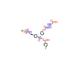 CS(=O)(=O)NCC#Cc1ccc(N2C(=O)[C@H](SC[C@H](O)c3ccc(F)cc3)[C@H]2c2ccc(OCC(=O)NCC(=O)NCC(=O)O)cc2)cc1